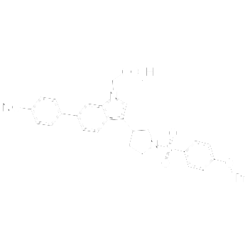 CC(C)Oc1ccc(S(=O)(=O)N2CCC(c3cn(CC(=O)O)c4cc(-c5ccc(C#N)cc5)ccc34)C2)cc1